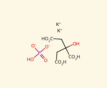 O=C(O)CC(O)(CC(=O)O)C(=O)O.O=P([O-])([O-])O.[K+].[K+]